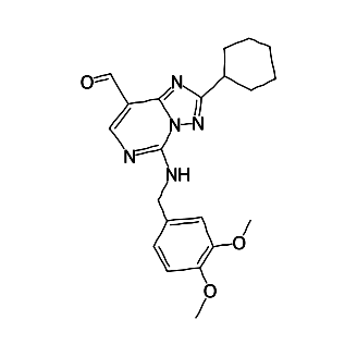 COc1ccc(CNc2ncc(C=O)c3nc(C4CCCCC4)nn23)cc1OC